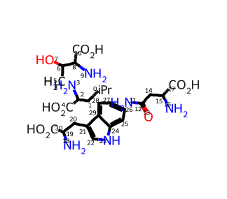 CC(C)CC(N)C(=O)O.CC(O)C(N)C(=O)O.NC(=O)CC(N)C(=O)O.NC(Cc1c[nH]c2ccccc12)C(=O)O